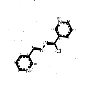 ClC(=NN=Cc1cccnc1)c1cccnc1